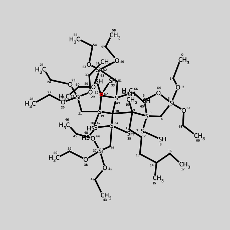 CCO[Si](CS(S)(SS)C(C)(CCCC(C)CC)C(S(S)(C[Si](OCC)(OCC)OCC)SS)(S(S)(C[Si](OCC)(OCC)OCC)SS)S(S)(C[Si](OCC)(OCC)OCC)SS)(OCC)OCC